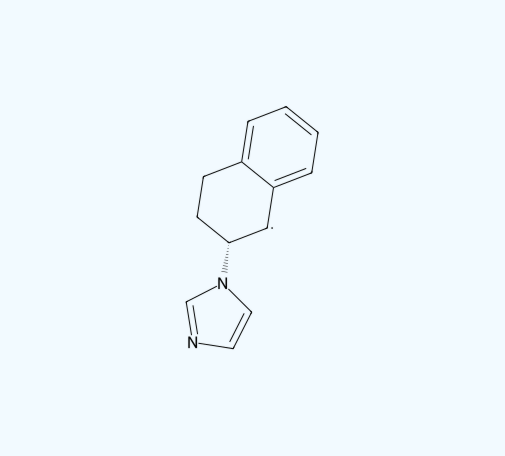 [CH]1c2ccccc2CC[C@H]1n1ccnc1